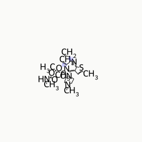 C=C/C=C1/N=c2sc(C)cc2=C(N2CCN(C)CC2)N(C(=O)OC(C)(C)OC(=O)NC)/C1=C/C